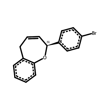 Brc1ccc([C@@H]2C=CCc3ccccc3O2)cc1